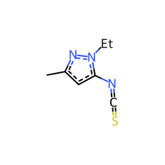 CCn1nc(C)cc1N=C=S